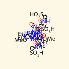 CCN(CC)c1cc(Nc2nc(Nc3cc(N(CC)CC)c(OC)cc3/N=N/c3nc(N4CCOCC4)c(/C=C(\C(C)=O)C(=O)Nc4cccc(S(=O)(=O)O)c4)s3)nc(SCCS(=O)(=O)O)n2)c(/N=N/c2nc(N3CCOCC3)c(/C=C(/C(C)=O)C(=O)Nc3cccc(S(=O)(=O)O)c3)s2)cc1OC